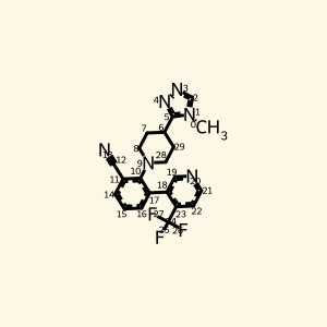 Cn1cnnc1C1CCN(c2c(C#N)cccc2-c2cnccc2C(F)(F)F)CC1